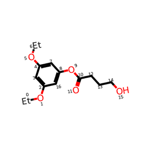 CCOc1cc(OCC)cc(OC(=O)CCCO)c1